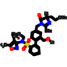 CCCCC1=NC(CC)(CCOC)C(=O)N1Cc1ccc(-c2ccccc2S(=O)(=O)N(COC)c2noc(C)c2C)c(COCC)c1